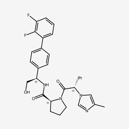 Cc1cn([C@H](C(=O)N2CCC[C@H]2C(=O)N[C@@H](CO)c2ccc(-c3cccc(F)c3F)cc2)C(C)C)cn1